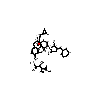 O=C(O)C(O)C(O)C(=O)O.O=C1CC(=CC2CCCCC2)C(=O)N1[C@@H]1CCC2(O)[C@H]3Cc4ccc(O)c5c4[C@@]2(CCN3CC2CC2)[C@H]1O5